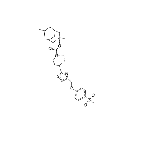 CC1CC2CC(C1)CC(C)(OC(=O)N1CCC(c3nc(COc4ccc(S(C)(=O)=O)cc4)cs3)CC1)C2